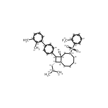 Cc1cccc(-c2ccc(C3[C@@H](CN(C)C)N4CCCCN(S(=O)(=O)c5ccccc5C(F)(F)F)C[C@@H]34)cc2)c1C